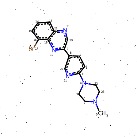 CN1CCN(c2ccc(-c3cnc4cccc(Br)c4n3)cn2)CC1